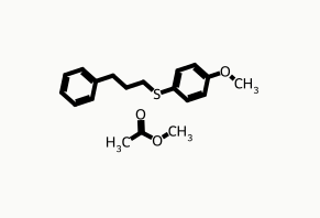 COC(C)=O.COc1ccc(SCCCc2ccccc2)cc1